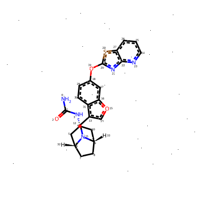 NC(=O)N[C@H]1C[C@H]2CC[C@@H](C1)N2Cc1coc2cc(Oc3nc4ncccc4s3)ccc12